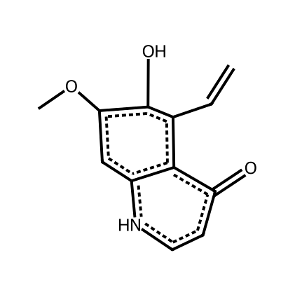 C=Cc1c(O)c(OC)cc2[nH]ccc(=O)c12